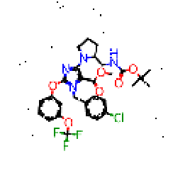 COC(=O)c1c(N2CCCC2CNC(=O)OC(C)(C)C)nc(Oc2cccc(OC(F)(F)F)c2)n1Cc1ccc(Cl)cc1